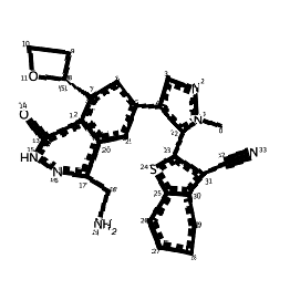 Cn1ncc(-c2cc([C@@H]3CCO3)c3c(=O)[nH]nc(CN)c3c2)c1-c1sc2ccccc2c1C#N